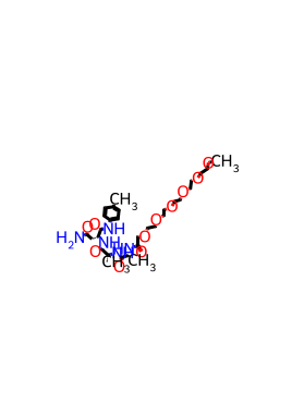 COCCOCCOCCOCCOCCOCC(=O)N[C@H](C)C(=O)N[C@H](C)C(=O)N[C@H](CC(N)=O)C(=O)Nc1ccc(C)cc1